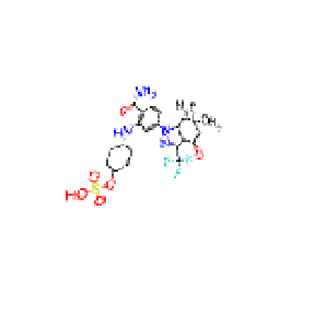 CC1(C)CC(=O)c2c(C(F)(F)F)nn(-c3ccc(C(N)=O)c(N[C@H]4CC[C@H](OS(=O)(=O)O)CC4)c3)c2C1